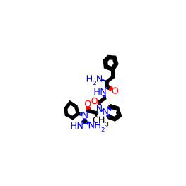 C[C@@H](C(=O)N(C(=N)N)C1CCCCC1)N(C(=O)CNC(=O)[C@@H](N)Cc1ccccc1)[n+]1ccccc1